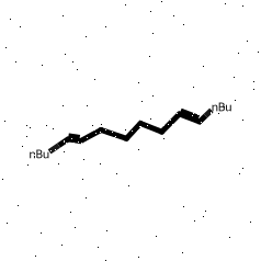 [CH2]CCCC=CCCCCC=CCCCC